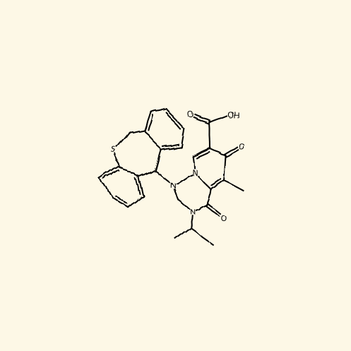 Cc1c2n(cc(C(=O)O)c1=O)N(C1c3ccccc3CSc3ccccc31)CN(C(C)C)C2=O